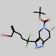 C=C(CO)CCC(F)(F)c1[nH]nc2c1CN(C(=O)OC(C)(C)C)[C@H](C)C2